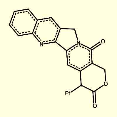 CC[C]1C(=O)OCc2c1cc1n(c2=O)Cc2cc3ccccc3nc2-1